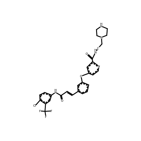 O=C(/C=C/c1cccc(Oc2ccnc(C(=O)NCCN3CCNCC3)c2)c1)Nc1ccc(Cl)c(C(F)(F)F)c1